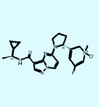 C[C@H](NC(=O)c1cnn2ccc(N3CCC[C@@H]3C3=CC(F)=C[N+](C)([O-])C3)nc12)C1CC1